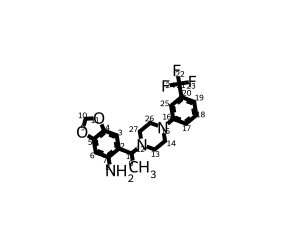 CC(c1cc2c(cc1N)OCO2)N1CCN(c2cccc(C(F)(F)F)c2)CC1